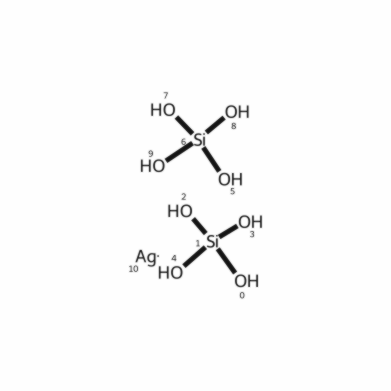 O[Si](O)(O)O.O[Si](O)(O)O.[Ag]